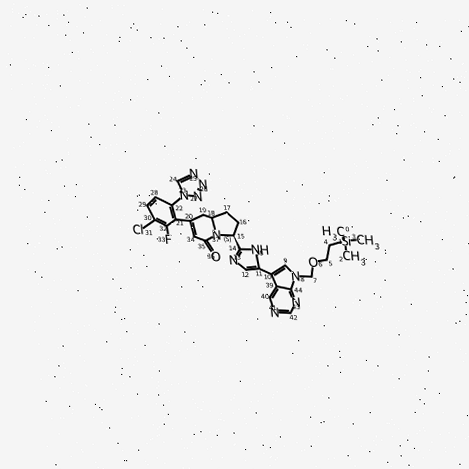 C[Si](C)(C)CCOCn1cc(-c2cnc([C@@H]3CCC4CC(c5c(-n6cnnn6)ccc(Cl)c5F)=CC(=O)N43)[nH]2)c2cncnc21